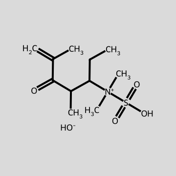 C=C(C)C(=O)C(C)C(CC)[N+](C)(C)S(=O)(=O)O.[OH-]